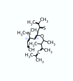 C#C/C=C(\C=C(/CC(=S)C(=C)C)OC(C)C(C)C(C)=C=C(C)C)N(C)C